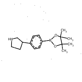 CC1(C)OB(c2ccc(C3CCNC3)cc2)OC1(C)C